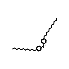 CCCCCCCCCCCc1ccc([I+]c2ccc(CCCCCCCCCCC)cc2)cc1